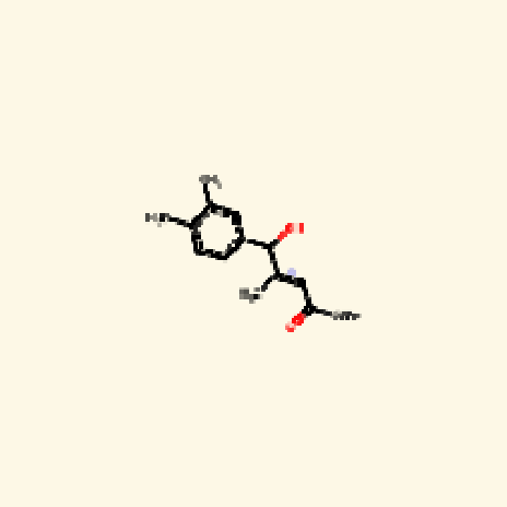 COC(=O)/C=C(\C)C(O)c1ccc(C)c(C)c1